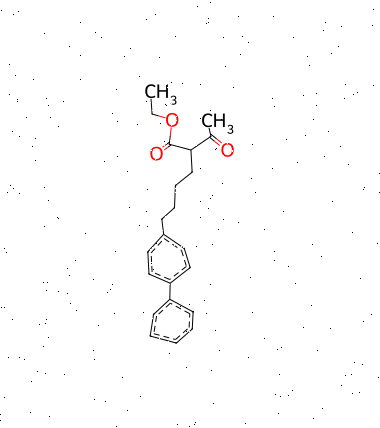 CCOC(=O)C(CCCCc1ccc(-c2ccccc2)cc1)C(C)=O